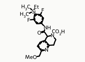 CC[Si](C)(C)c1c(F)cc(NC(=O)C2c3ccc(COC)nc3CCN2C(=O)O)cc1F